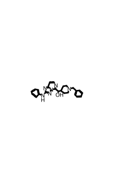 OC(c1nccc2nc(Nc3ccccc3)nn12)C1CCN(Cc2ccccc2)CC1